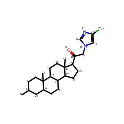 CC1CCC2(C)C(CCC3C2CCC2(C)C(C(=O)Cn4cnc(F)c4)CCC32)C1